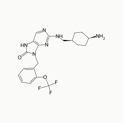 N[C@H]1CC[C@@H](CNc2ncc3[nH]c(=O)n(Cc4ccccc4OC(F)(F)F)c3n2)CC1